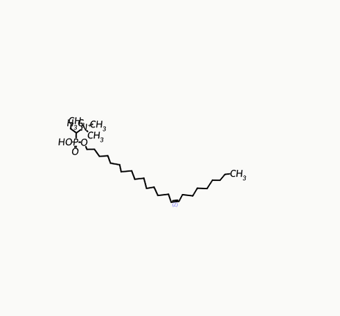 CCCCCCCC/C=C\CCCCCCCCCCCCCCOP(=O)(O)C(CC)[N+](C)(C)C